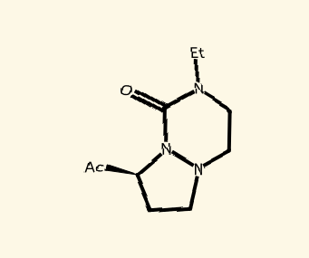 CCN1CCN2CC[C@@H](C(C)=O)N2C1=O